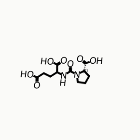 O=C(O)CCC(NC(=O)N1CCC[C@H]1C(=O)O)C(=O)O